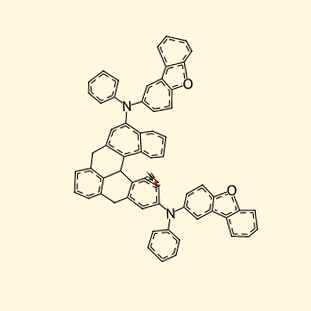 c1ccc(N(c2ccc3oc4ccccc4c3c2)c2cc3c(c4ccccc24)C2c4c(cccc4Cc4cc(N(c5ccccc5)c5ccc6oc7ccccc7c6c5)c5ccccc5c42)C3)cc1